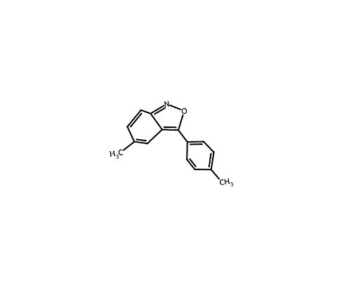 Cc1ccc(-c2onc3ccc(C)cc23)cc1